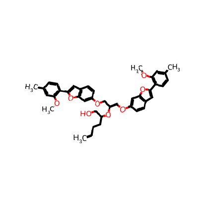 CCCCC(CO)OC(COc1ccc2cc(-c3ccc(C)cc3OC)oc2c1)COc1ccc2cc(-c3ccc(C)cc3OC)oc2c1